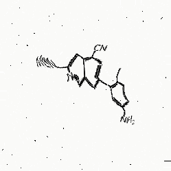 CNc1cc2c(C#N)cc(-c3cc(N)ccc3C)cc2cn1